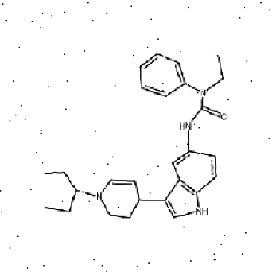 CCC(CC)N1C=CC(c2c[nH]c3ccc(NC(=O)N(CC)c4ccccc4)cc23)CC1